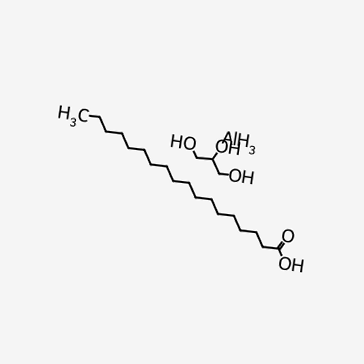 CCCCCCCCCCCCCCCCCC(=O)O.OCC(O)CO.[AlH3]